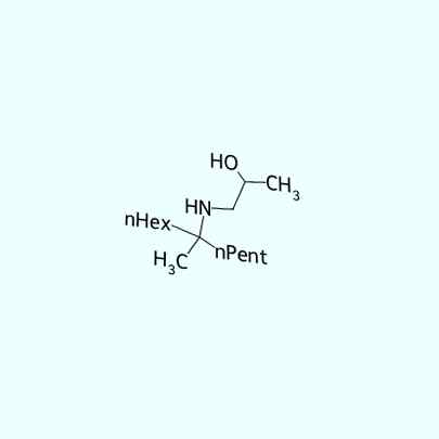 CCCCCCC(C)(CCCCC)NCC(C)O